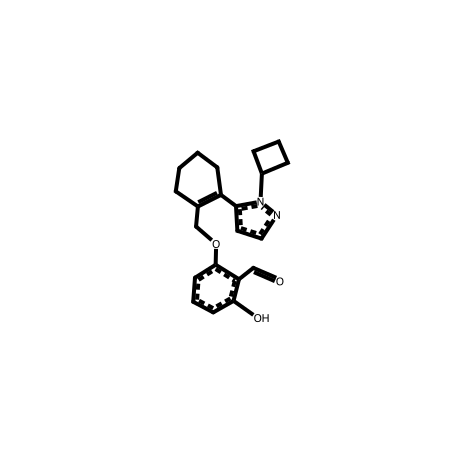 O=Cc1c(O)cccc1OCC1=C(c2ccnn2C2CCC2)CCCC1